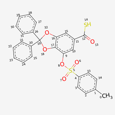 Cc1ccc(S(=O)(=O)Oc2cc(C(=O)S)cc3c2OC(c2ccccc2)(c2ccccc2)O3)cc1